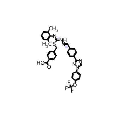 Cc1cccc(C)c1/N=C(/N/N=C/c1ccc(-c2ncn(-c3ccc(OC(F)(F)F)cc3)n2)cc1)SCc1ccc(C(=O)O)cc1